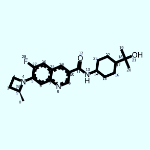 C[C@H]1CCN1c1cc2ncc(C(=O)NC3CCC(C(C)(C)O)CC3)cc2cc1F